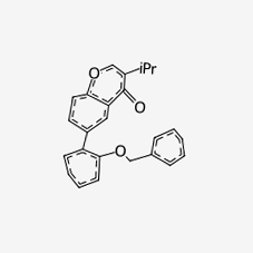 CC(C)c1coc2ccc(-c3ccccc3OCc3ccccc3)cc2c1=O